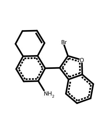 Nc1ccc2c(c1-c1c(Br)oc3ccccc13)C=CCC2